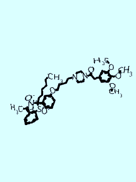 CCCCCCC1(c2cccc(OCCCCN3CCN(C(=O)Cc4cc(OC)c(OC)c(OC)c4)CC3)c2)[NH+]([O-])C(C)c2ccccc2[S+]1[O-]